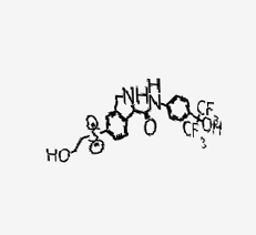 O=C(Nc1ccc(C(O)(C(F)(F)F)C(F)(F)F)cc1)C1NCc2cc(S(=O)(=O)CCO)ccc21